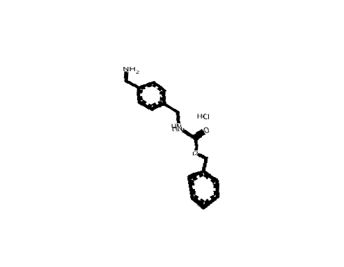 Cl.NCc1ccc(CNC(=O)OCc2ccccc2)cc1